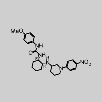 COc1ccc(NC(=O)N[C@@H]2CCCC[C@H]2NC2CCCN(c3ccc([N+](=O)[O-])cc3)C2)cc1